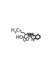 CCCCC(NC(=O)c1nc2ccccc2[nH]1)C(=O)O